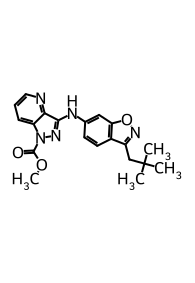 COC(=O)n1nc(Nc2ccc3c(CC(C)(C)C)noc3c2)c2ncccc21